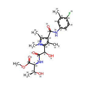 COC(=O)[C@@H](NC(=O)C(O)c1c(C)c(C(=O)Nc2ccc(F)c(C)c2)c(C)n1C)[C@H](C)O